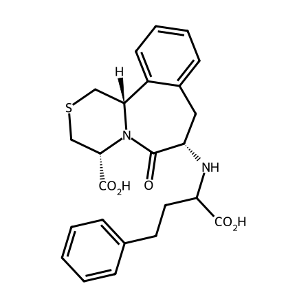 O=C(O)C(CCc1ccccc1)N[C@H]1Cc2ccccc2[C@H]2CSC[C@@H](C(=O)O)N2C1=O